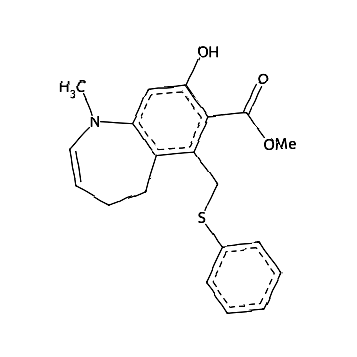 COC(=O)c1c(O)cc2c(c1CSc1ccccc1)CCC=CN2C